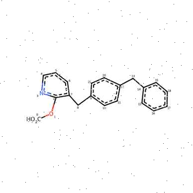 O=C(O)Oc1ncccc1Cc1ccc(Cc2ccccc2)cc1